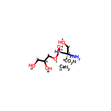 N[C@@](CO)(C(=O)O)[PH](=O)OCC(O)CO.[CaH2]